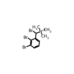 C[N+](C)(C)C(Br)c1cccc(Br)c1Br